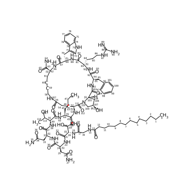 CCCCCCCCCCCCCC(=O)NCC(=O)N[C@H](C(=O)N[C@@H](CC(N)=O)C(=O)N[C@@H](CC(N)=O)C(=O)N[C@H](C(=O)N[C@@H](CCCC)C(=O)N[C@H]1CCC(=O)NCCCC[C@@H](C(N)=O)NC(=O)[C@H](Cc2c[nH]c3ccccc23)NC(=O)[C@H](CCCNC(=N)N)NC(=O)[C@@H](Cc2ccccc2)NC(=O)[C@@H]2C[C@@H](O)CN2C1=O)C(C)O)C(C)O